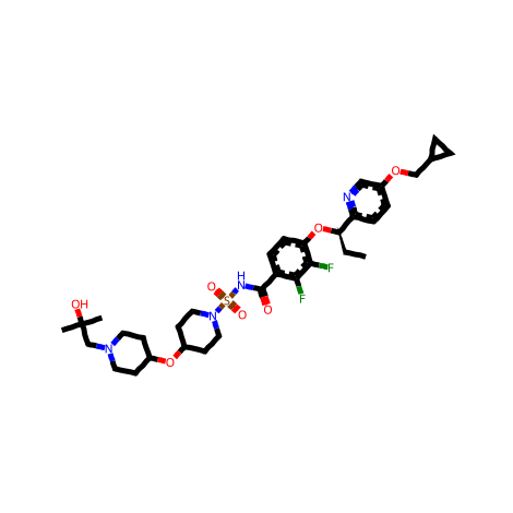 CC[C@@H](Oc1ccc(C(=O)NS(=O)(=O)N2CCC(OC3CCN(CC(C)(C)O)CC3)CC2)c(F)c1F)c1ccc(OCC2CC2)cn1